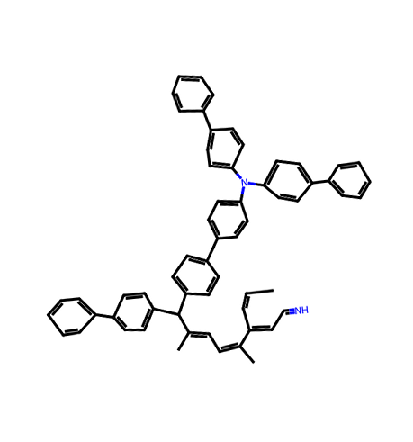 C\C=C/C(=C\C=N)C(/C)=C\C=C(/C)C(c1ccc(-c2ccccc2)cc1)c1ccc(-c2ccc(N(c3ccc(-c4ccccc4)cc3)c3ccc(-c4ccccc4)cc3)cc2)cc1